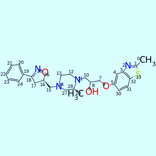 Cc1nc2cc(OCC(O)CN3CCN(C[C@H]4CC(c5ccccc5)=NO4)C[C@@H]3C)ccc2s1